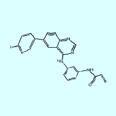 C=CC(=O)Nc1cccc(Nc2ncnc3ccc(-c4ccc(F)nc4)cc23)c1